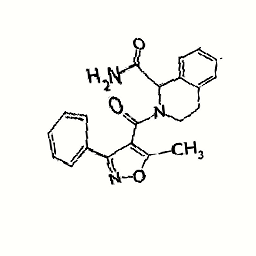 Cc1onc(-c2ccccc2)c1C(=O)N1CCc2c[c]ccc2C1C(N)=O